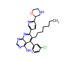 CCCCCCCc1c(-c2ccc(C3CNCCO3)nc2)nc2ncnc(N)c2c1-c1cccc(Cl)c1